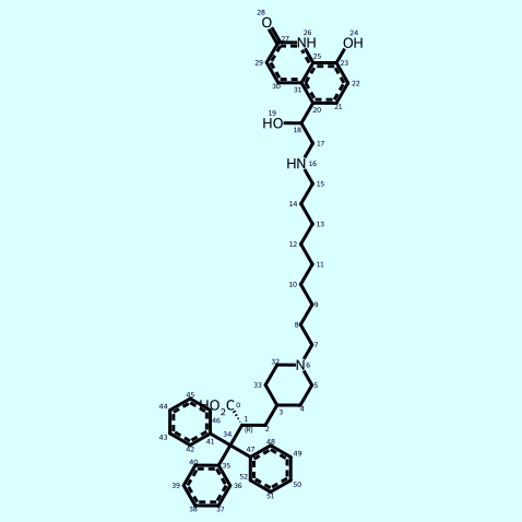 O=C(O)[C@H](CC1CCN(CCCCCCCCCNCC(O)c2ccc(O)c3[nH]c(=O)ccc23)CC1)C(c1ccccc1)(c1ccccc1)c1ccccc1